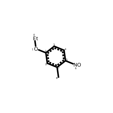 CCOc1ccc(N=O)c(C)c1